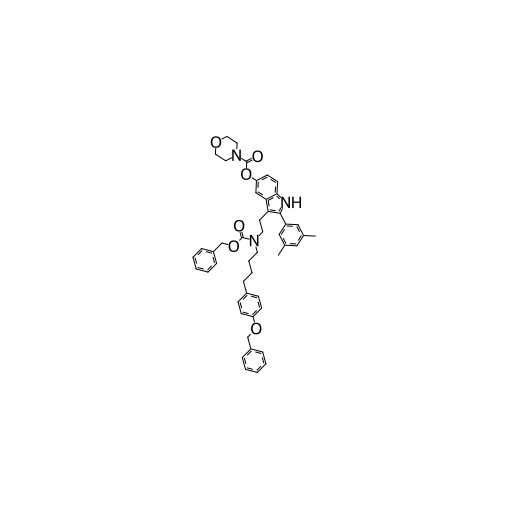 Cc1cc(C)cc(-c2[nH]c3ccc(OC(=O)N4CCOCC4)cc3c2CCN(CCCCc2ccc(OCc3ccccc3)cc2)C(=O)OCc2ccccc2)c1